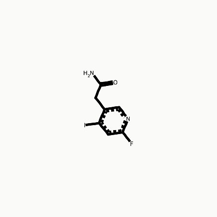 NC(=O)Cc1cnc(F)cc1I